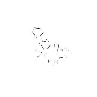 CC(CC(N)=O)Nc1cc(C(F)(F)F)nc(-c2ccccn2)n1